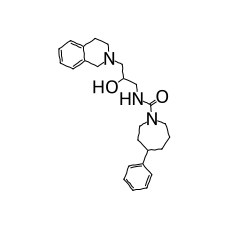 O=C(NCC(O)CN1CCc2ccccc2C1)N1CCCC(c2ccccc2)CC1